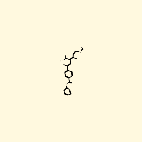 C\C=N/C=C\C(C)=C(\C=C(/C)c1ccc(C(=O)Nc2ccccc2)cc1)C(CC)CCC